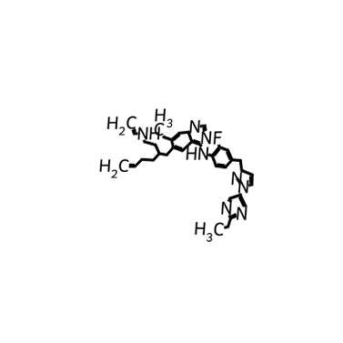 C=CCCC(CCNC=C)Cc1cc2c(Nc3ccc(Cc4ccn(-c5cnc(CC)nc5)n4)cc3F)ncnc2cc1CC